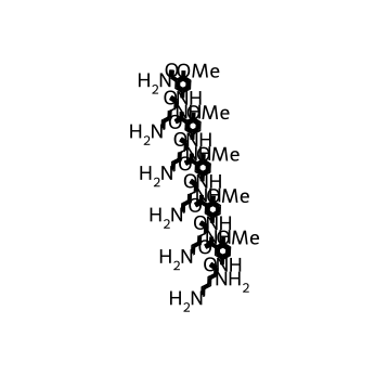 COc1ccc(NC(=O)[C@H](CCCCN)NC(=O)c2cc(NC(=O)[C@H](CCCCN)NC(=O)c3cc(NC(=O)[C@H](CCCCN)NC(=O)c4cc(NC(=O)[C@H](CCCCN)NC(=O)c5cc(NC(=O)[C@@H](N)CCCCN)ccc5OC)ccc4OC)ccc3OC)ccc2OC)cc1C(N)=O